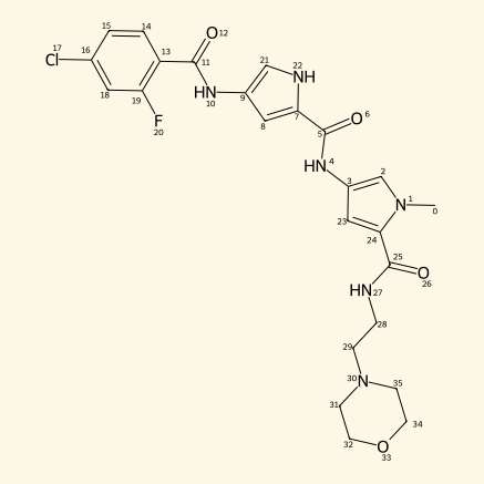 Cn1cc(NC(=O)c2cc(NC(=O)c3ccc(Cl)cc3F)c[nH]2)cc1C(=O)NCCN1CCOCC1